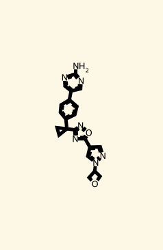 Nc1ncc(-c2ccc(C3(c4noc(-c5cnn(C6COC6)c5)n4)CC3)cc2)cn1